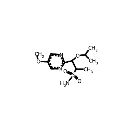 COc1cnc(C(OC(C)C)C(C)S(N)(=O)=O)nc1